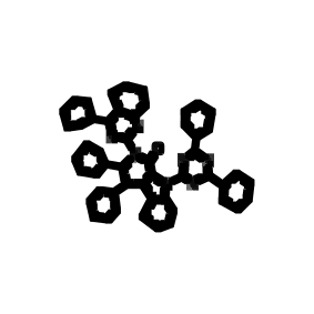 O=c1c2c(c(-c3ccccc3)c(-c3ccccc3)n1-c1nc(-c3ccccc3)c3ccccc3n1)c1ccccc1n2-c1nc(-c2ccccc2)nc(-c2ccccc2)n1